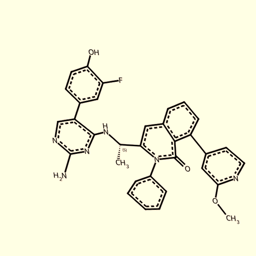 COc1cc(-c2cccc3cc([C@H](C)Nc4nc(N)ncc4-c4ccc(O)c(F)c4)n(-c4ccccc4)c(=O)c23)ccn1